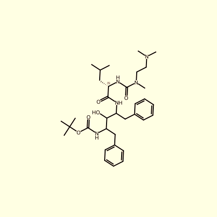 CC(C)C[C@H](NC(=O)N(C)CCN(C)C)C(=O)NC(Cc1ccccc1)C(O)C(Cc1ccccc1)NC(=O)OC(C)(C)C